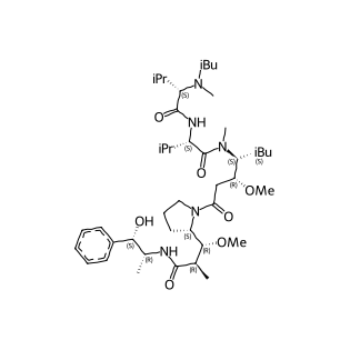 CCC(C)N(C)[C@H](C(=O)N[C@H](C(=O)N(C)[C@@H]([C@@H](C)CC)[C@@H](CC(=O)N1CCC[C@H]1[C@H](OC)[C@@H](C)C(=O)N[C@H](C)[C@@H](O)c1ccccc1)OC)C(C)C)C(C)C